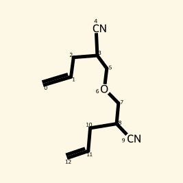 C=CCC(C#N)COCC(C#N)CC=C